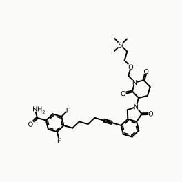 C[Si](C)(C)CCOCN1C(=O)CCC(N2Cc3c(C#CCCCCc4c(F)cc(C(N)=O)cc4F)cccc3C2=O)C1=O